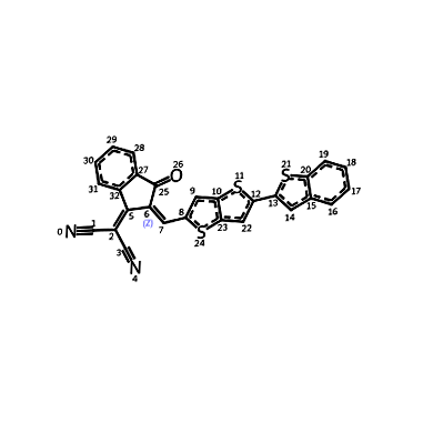 N#CC(C#N)=C1/C(=C/c2cc3sc(-c4cc5ccccc5s4)cc3s2)C(=O)c2ccccc21